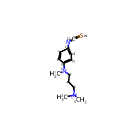 CN(C)CCCN(C)c1ccc(N=C=S)cc1